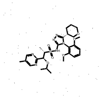 COc1cccc(OC)c1-n1c(NS(=O)(=O)[C@@H](C)[C@@H](OC(C)C)c2ncc(C)cn2)nnc1[C@@H]1CCCOC1